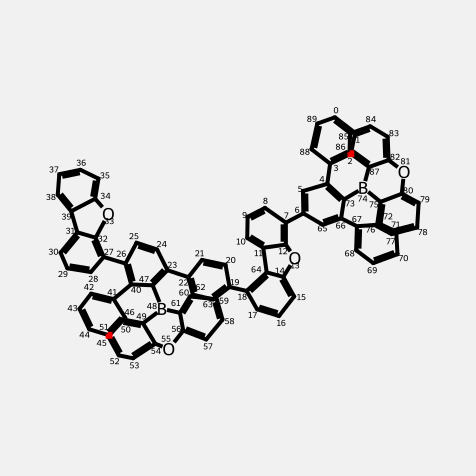 c1ccc(-c2cc(-c3cccc4c3oc3cccc(-c5ccc(-c6ccc(-c7cccc8c7oc7ccccc78)c(-c7ccccc7)c6B6c7ccccc7Oc7ccccc76)cc5)c34)cc(-c3ccccc3)c2B2c3ccccc3Oc3ccccc32)cc1